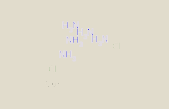 N.N.N.N.N.[Cl-].[Cl-].[Co+2]